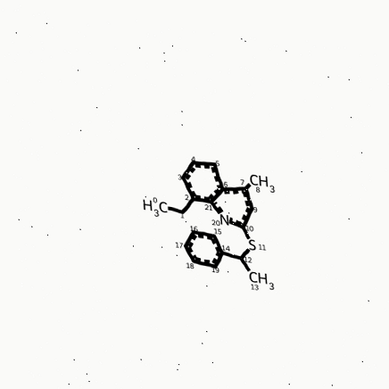 CCc1cccc2c(C)cc(SC(C)c3ccccc3)nc12